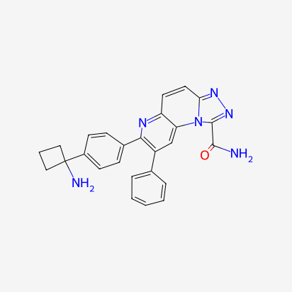 NC(=O)c1nnc2ccc3nc(-c4ccc(C5(N)CCC5)cc4)c(-c4ccccc4)cc3n12